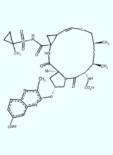 COc1ccc2nc(C)c(O[C@@H]3C[C@H]4C(=O)NC5(C(=O)NS(=O)(=O)C6(C)CC6)CC5/C=C\CC[C@@H](C)C[C@@H](C)[C@H](NC(=O)O)C(=O)N4C3)nc2c1